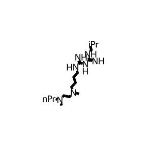 CCCN(C)CCN(C)CCCCNC(=N)NC(=N)NCC(C)C